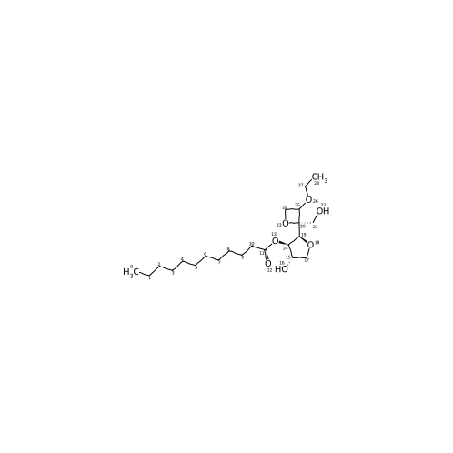 CCCCCCCCCCCC(=O)O[C@@H]1[C@@H](O)CO[C@@H]1[C@@]1(CO)OCC1OCC